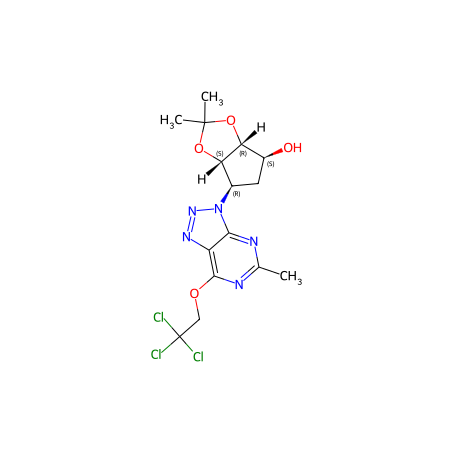 Cc1nc(OCC(Cl)(Cl)Cl)c2nnn([C@@H]3C[C@H](O)[C@H]4OC(C)(C)O[C@H]43)c2n1